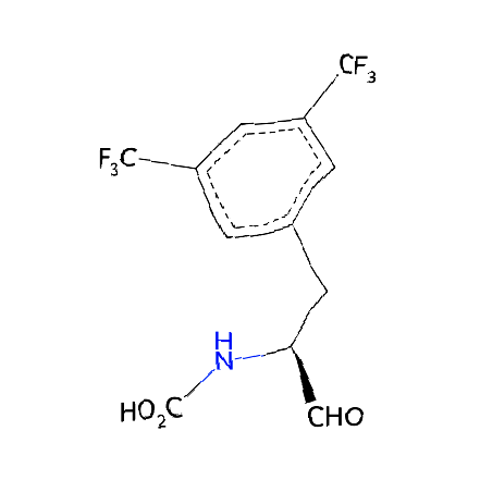 O=C[C@H](Cc1cc(C(F)(F)F)cc(C(F)(F)F)c1)NC(=O)O